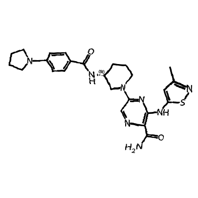 Cc1cc(Nc2nc(N3CCC[C@@H](NC(=O)c4ccc(N5CCCC5)cc4)C3)cnc2C(N)=O)sn1